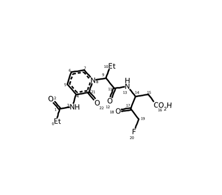 CCC(=O)Nc1cccn(C(CC)C(=O)NC(CC(=O)O)C(=O)CF)c1=O